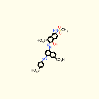 CS(=O)(=O)Nc1ccc2c(O)c(/N=N/c3ccc(/N=N/c4ccc(S(=O)(=O)O)cc4)c4cc(S(=O)(=O)O)ccc34)c(S(=O)(=O)O)cc2c1